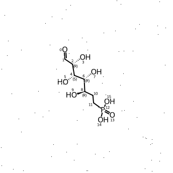 O=C[C@H](O)[C@@H](O)[C@H](O)[C@H](O)CCP(=O)(O)O